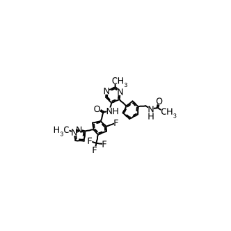 CC(=O)NCc1cccc(-c2nc(C)ncc2NC(=O)c2cc(-c3ccn(C)n3)c(C(F)(F)F)cc2F)c1